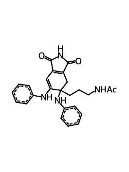 CC(=O)NCCCC1(Nc2ccccc2)CC2=C(C=C1Nc1ccccc1)C(=O)NC2=O